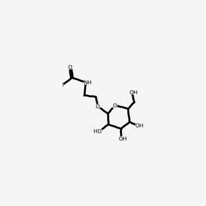 O=C(I)NCCOC1OC(CO)C(O)C(O)C1O